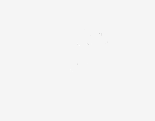 C=CCN1C(=O)C(=NNC(=S)N(CC)CC)c2ccccc21